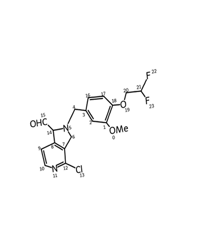 COc1cc(CN2Cc3c(ccnc3Cl)C2C=O)ccc1OCC(F)F